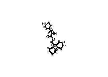 CC(C)(NC(=O)OCC1c2ccccc2-c2ccccc21)C1CCNCC1